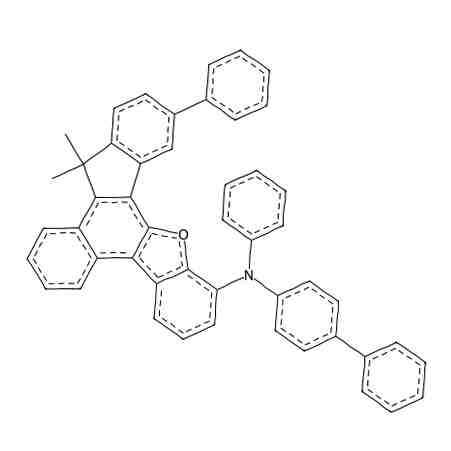 CC1(C)c2ccc(-c3ccccc3)cc2-c2c1c1ccccc1c1c2oc2c(N(c3ccccc3)c3ccc(-c4ccccc4)cc3)cccc21